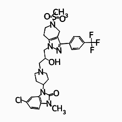 Cn1c(=O)n(C2CCN(CC(O)Cn3nc(-c4ccc(C(F)(F)F)cc4)c4c3CCN(S(C)(=O)=O)C4)CC2)c2cc(Cl)ccc21